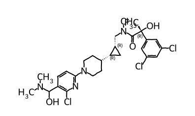 CN(C[C@@H]1C[C@@H]1C1CCN(c2ccc(C(O)N(C)C)c(Cl)n2)CC1)C(=O)[C@](O)(c1cc(Cl)cc(Cl)c1)C(F)(F)F